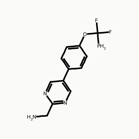 NCc1ncc(-c2ccc(OC(F)(F)P)cc2)cn1